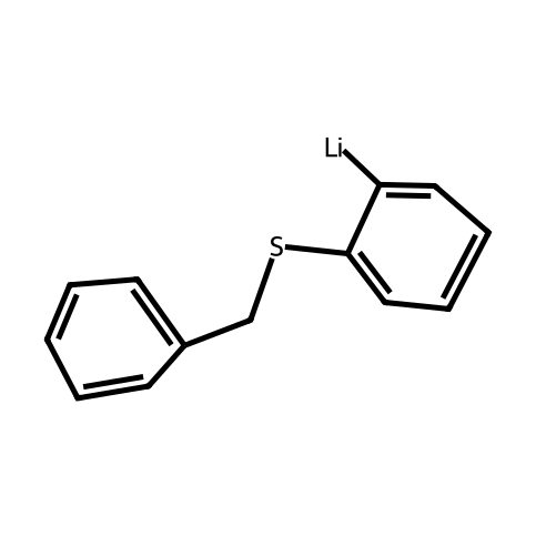 [Li][c]1ccccc1SCc1ccccc1